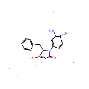 N#Cc1ccc(N2C(=O)C=C(O)C2Cc2ccccc2)cc1N